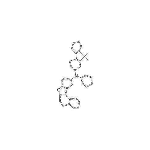 CC1(C)c2ccccc2-c2ccc(N(c3ccccc3)c3ccc4oc5ccc6ccccc6c5c4c3)cc21